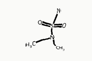 CN(C)S([N])(=O)=O